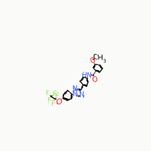 COc1cccc(C(=O)Nc2ccc(-c3ncn(-c4ccc(OC(F)(F)C(F)(F)F)cc4)n3)cc2)c1